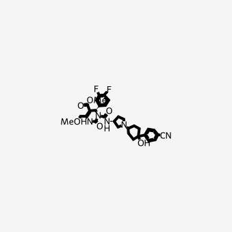 COCC1=C(C(=O)OC)[C@H](c2ccc(F)c(F)c2)N(C(=O)N[C@@H]2CCN(C3CCC(O)(c4ccc(C#N)cc4)CC3)C2)C(=O)N1